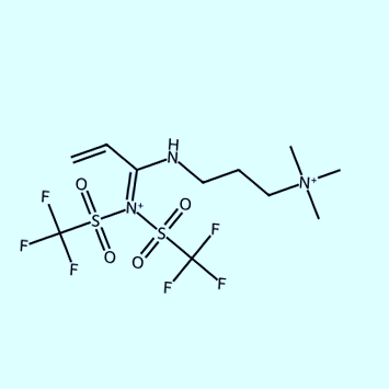 C=CC(NCCC[N+](C)(C)C)=[N+](S(=O)(=O)C(F)(F)F)S(=O)(=O)C(F)(F)F